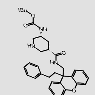 CC(C)(C)OC(=O)N[C@H]1CNC[C@@H](C(=O)NCC2(CCc3ccccc3)c3ccccc3Oc3ccccc32)C1